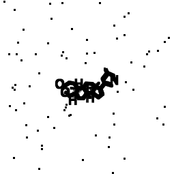 Cc1cncc(C2=CC[C@H]3[C@@H]4CC[C@H]5COC(=O)CC[C@]5(C)[C@H]4CC[C@]23C)c1